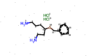 Cl.Cl.NCCCC(CCN)SCc1ccccc1